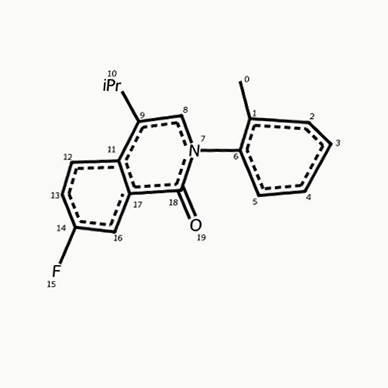 Cc1ccccc1-n1cc(C(C)C)c2ccc(F)cc2c1=O